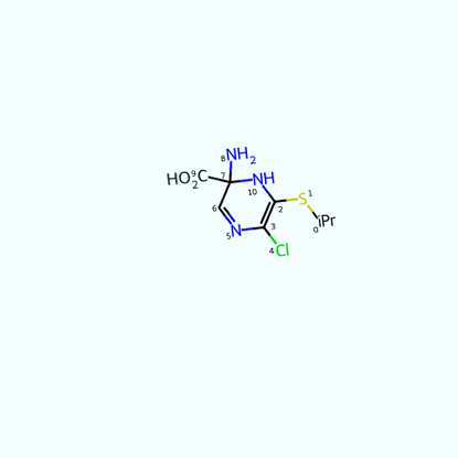 CC(C)SC1=C(Cl)N=CC(N)(C(=O)O)N1